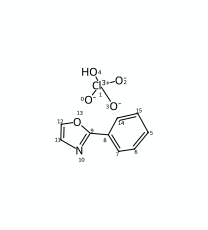 [O-][Cl+3]([O-])([O-])O.c1ccc(-c2ncco2)cc1